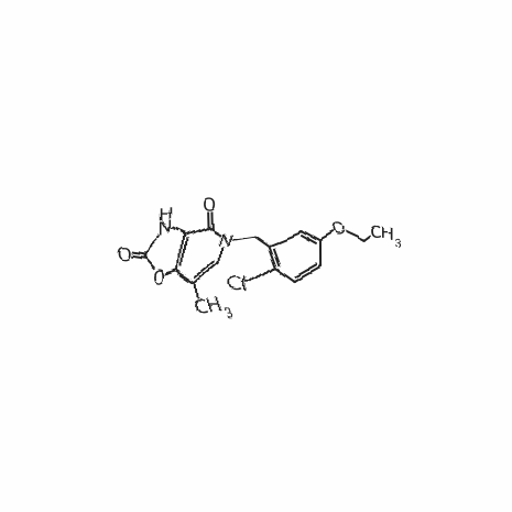 CCOc1ccc(Cl)c(Cn2cc(C)c3oc(=O)[nH]c3c2=O)c1